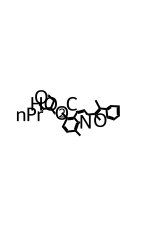 CCC[C@@H]1COCCC1COc1ccc(C)c2nc(-c3oc4ccccc4c3C)cc(C(=O)O)c12